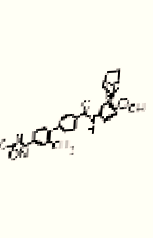 COc1ccc(NC(=O)c2ccc(-c3ccc(-c4noc(C)n4)cc3C)cc2)cc1C1CC2CCC(C1)N2